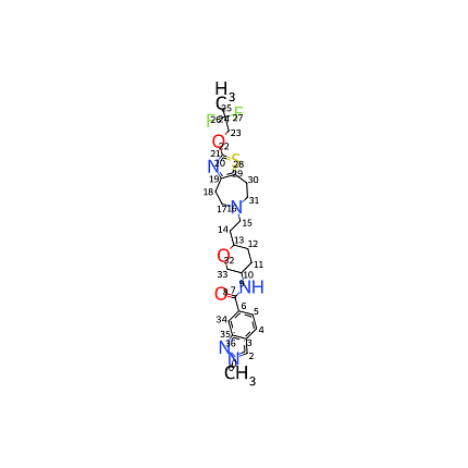 Cn1cc2ccc(C(=O)NC3CCC(CCN4CCc5nc(OCC(C)(F)F)sc5CC4)OC3)cc2n1